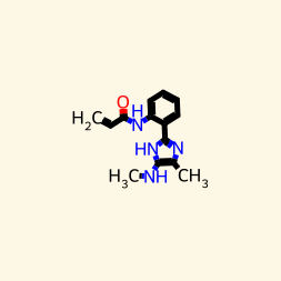 C=CC(=O)Nc1ccccc1-c1nc(C)c(NC)[nH]1